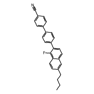 CCCCc1ccc2c(F)c(-c3ccc(-c4ccc(C#N)cc4)cc3)ccc2c1